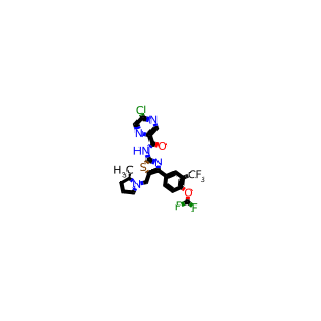 C[C@@H]1CCCN1Cc1sc(NC(=O)c2cnc(Cl)cn2)nc1-c1ccc(OC(F)F)c(C(F)(F)F)c1